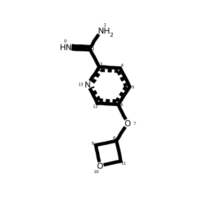 N=C(N)c1ccc(OC2COC2)cn1